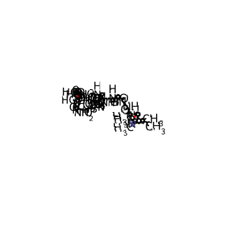 CCCc1cc2c(cc1C)C(c1ccccc1C(=O)N(C)CCCC(=O)NCCNC(=O)c1cccc(C(=O)NCCCCC(NC(=O)C3CCCN3C(=O)CCSSCCC(=O)NCC#Cc3cn([C@H]4CC(O)[C@@H](COP(=O)(O)OP(=O)(O)OP(=O)(O)O)O4)c(=O)nc3N)C(=O)N3CCCC3C(=O)NC(CC(=O)O)C(=O)NC(CC(=O)O)C(=O)O)c1)C1C=C(C)/C(=N/CC)C=C1C2